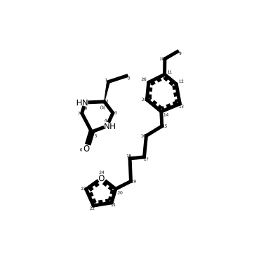 CC[C@H]1CNC(=O)CN1.CCc1ccc(CCCCCc2ccco2)cc1